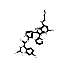 COCCOc1cc(F)nc2c(-c3ccccn3)c(-c3ccnc(NC(=O)[C@H](CC(F)F)c4ccc(F)cc4)c3)[nH]c12